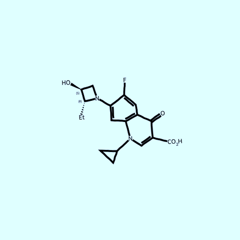 CC[C@@H]1[C@@H](O)CN1c1cc2c(cc1F)c(=O)c(C(=O)O)cn2C1CC1